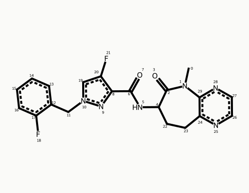 CN1C(=O)C(NC(=O)c2nn(Cc3ccccc3F)cc2F)CCc2nccnc21